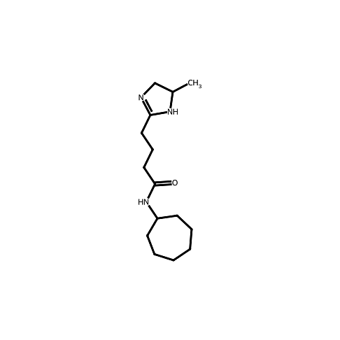 CC1CN=C(CCCC(=O)NC2CCCCCC2)N1